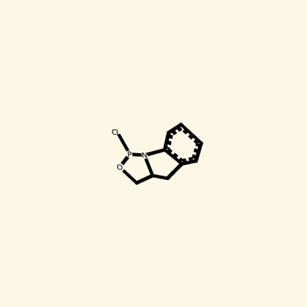 ClP1OCC2Cc3ccccc3N21